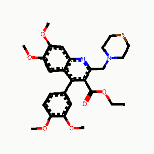 CCOC(=O)c1c(CN2CCSCC2)nc2cc(OC)c(OC)cc2c1-c1ccc(OC)c(OC)c1